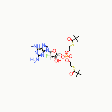 CNc1nc(N)nc2c1ncn2[C@@H]1O[C@H](COP(=O)(OCCSC(=O)C(C)(C)C)OCCSC(=O)C(C)(C)C)[C@@H](O)[C@@]1(C)F